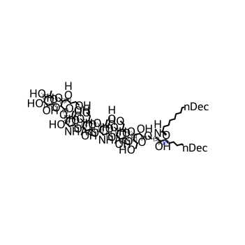 CCCCCCCCCCCCC/C=C/[C@@H](O)[C@H](CO[C@@H]1OC(CO)[C@@H](O[C@@H]2OC(CO)[C@H](O)[C@H](O[C@@H]3OC(CO)[C@@H](O)[C@H](O[C@@H]4OC(CO)[C@H](O)[C@H](O[C@@H]5OC(CO)[C@@H](O[C@@H]6OC(CO)[C@H](O)[C@H](O)C6O[C@H]6OC(C)[C@@H](O)C(O)[C@@H]6O)[C@H](O)C5NC(C)=O)C4O)C3NC(C)=O)C2O)[C@H](O)C1O)NC(=O)CCCCCCCCCCCCCCCCC